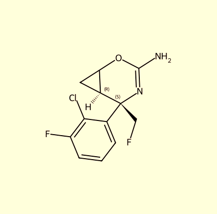 NC1=N[C@](CF)(c2cccc(F)c2Cl)[C@H]2CC2O1